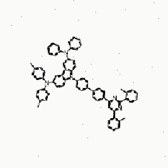 Cc1ccc(N(c2ccc(C)cc2)c2ccc3c(c2)c2cc(N(c4ccccc4)c4ccccc4)ccc2n3-c2ccc(-c3ccc(-c4cc(-c5ccccc5C)nc(-c5ccccc5C)n4)cc3)cc2)cc1